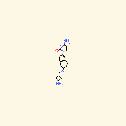 Nc1ccn(-c2ccc3c(c2)CCC(NC[C@H]2C[C@@H](N)C2)C3)c(=O)n1